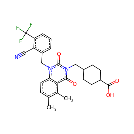 Cc1ccc2c(c1C)c(=O)n(CC1CCC(C(=O)O)CC1)c(=O)n2Cc1cccc(C(F)(F)F)c1C#N